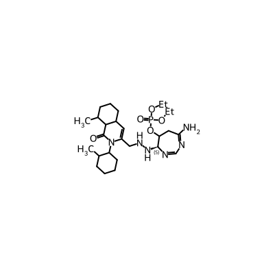 CCOP(=O)(OCC)OC1CC(N)=NC=N[C@H]1NNCC1=CC2CCCC(C)C2C(=O)N1C1CCCCC1C